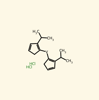 CC(C)C1=[C]([V][C]2=C(C(C)C)C=CC2)CC=C1.Cl.Cl